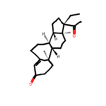 CC[C@]1(C(C)=O)CC[C@H]2[C@@H]3CCC4=CC(=O)CC[C@]4(C)[C@H]3CC[C@@]21C